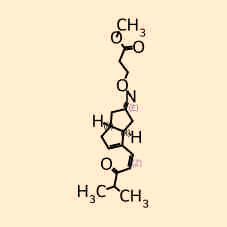 COC(=O)CCO/N=C1\C[C@H]2CC=C(/C=C\C(=O)C(C)C)[C@@H]2C1